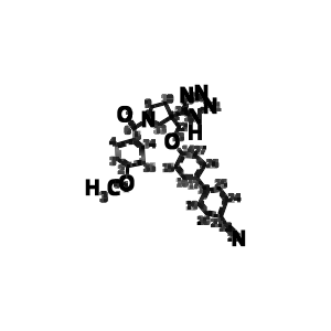 COc1ccc(C(=O)N2CCC(COc3ccc(-c4ccc(C#N)cc4)cc3)(c3nnn[nH]3)C2)cc1